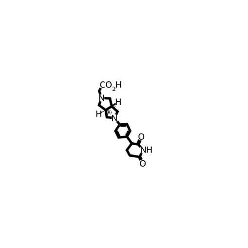 O=C(O)CN1C[C@@H]2CN(c3ccc(C4CCC(=O)NC4=O)cc3)C[C@H]2C1